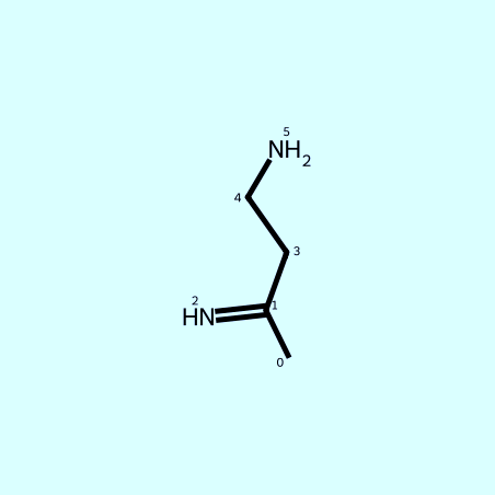 CC(=N)[CH]CN